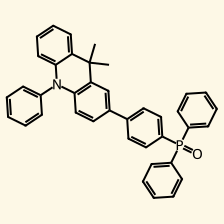 CC1(C)c2ccccc2N(c2ccccc2)c2ccc(-c3ccc(P(=O)(c4ccccc4)c4ccccc4)cc3)cc21